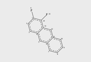 Fc1[c]cc2cc3cc[c]cc3cc2c1F